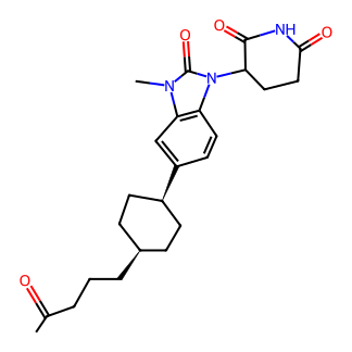 CC(=O)CCC[C@H]1CC[C@@H](c2ccc3c(c2)n(C)c(=O)n3C2CCC(=O)NC2=O)CC1